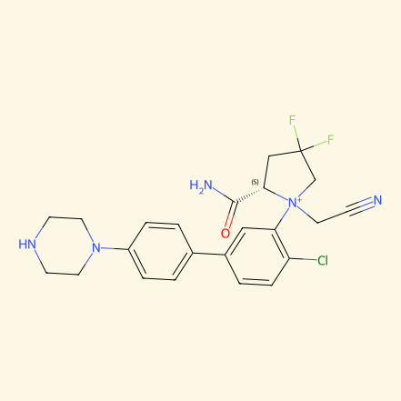 N#CC[N+]1(c2cc(-c3ccc(N4CCNCC4)cc3)ccc2Cl)CC(F)(F)C[C@H]1C(N)=O